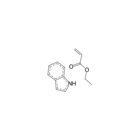 C=CC(=O)OCC.c1ccc2[nH]ccc2c1